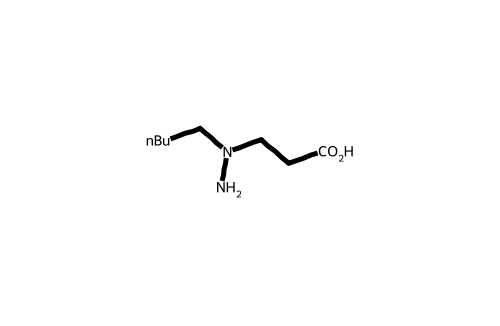 CCCCCN(N)CCC(=O)O